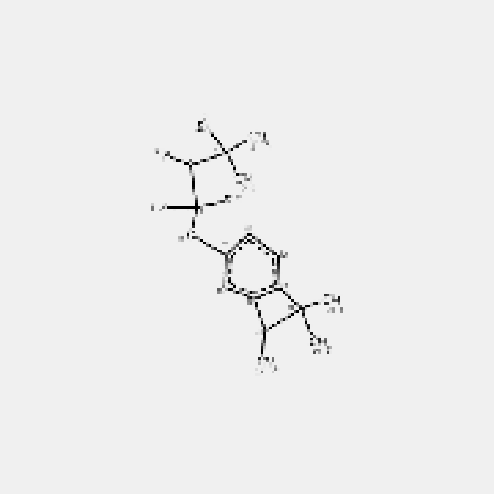 CCC(C)(C)C(F)C(F)(F)Oc1ccc2c(c1)C(C)C2(C)C